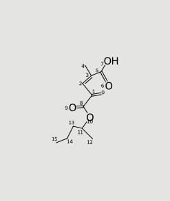 C=C(C=C(C)C(=O)O)C(=O)OC(C)CCC